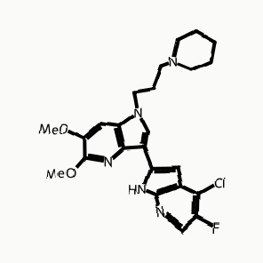 COc1cc2c(nc1OC)c(-c1cc3c(Cl)c(F)cnc3[nH]1)cn2CCCN1CCCCC1